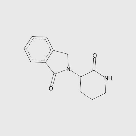 O=C1NCCCC1N1Cc2ccccc2C1=O